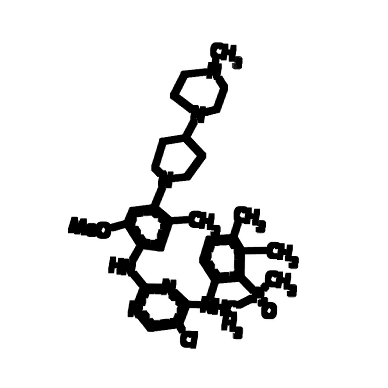 COc1cc(N2CCC(N3CCN(C)CC3)CC2)c(C)cc1Nc1ncc(Cl)c(Nc2ccc(C)c(C)c2P(C)(C)=O)n1